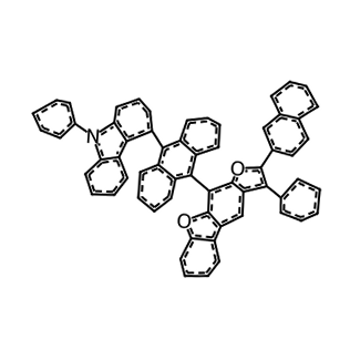 c1ccc(-c2c(-c3ccc4ccccc4c3)oc3c(-c4c5ccccc5c(-c5cccc6c5c5ccccc5n6-c5ccccc5)c5ccccc45)c4oc5ccccc5c4cc23)cc1